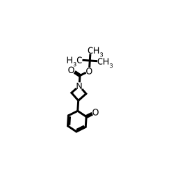 CC(C)(C)OC(=O)N1CC(C2C=CC=CC2=O)C1